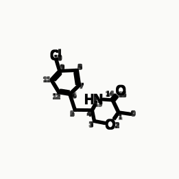 CC1OCC(Cc2ccc(Cl)cc2)NC1=O